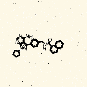 Nc1ncnc2c1c(-c1ccc(CNC(=O)c3cccc4ccccc34)cc1)nn2C1CCCC1